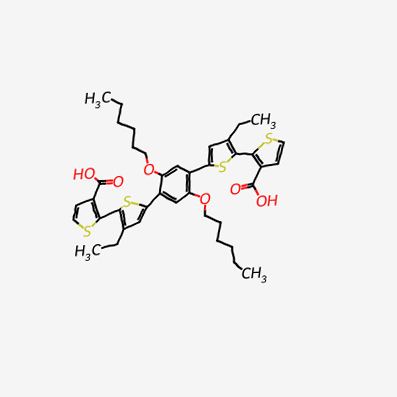 CCCCCCOc1cc(-c2cc(CC)c(-c3sccc3C(=O)O)s2)c(OCCCCCC)cc1-c1cc(CC)c(-c2sccc2C(=O)O)s1